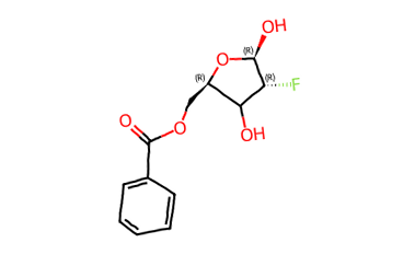 O=C(OC[C@H]1O[C@@H](O)[C@H](F)C1O)c1ccccc1